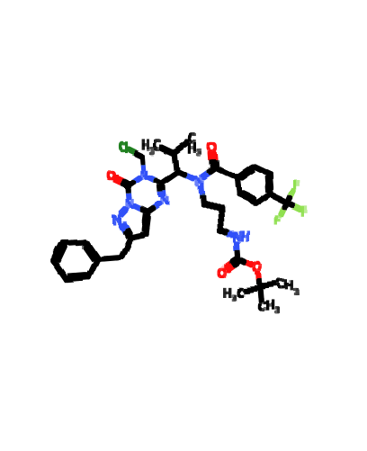 CC(C)C(c1nc2cc(Cc3ccccc3)nn2c(=O)n1CCl)N(CCCNC(=O)OC(C)(C)C)C(=O)c1ccc(C(F)(F)F)cc1